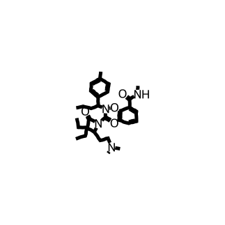 CCCC(c1ccc(C)cc1)N(Oc1ccccc1C(=O)NC)C(=O)N1C(=O)C(CC)(CC)C1CCN(C)C